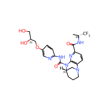 C[C@@H](NC(=O)c1ccc2c(n1)N(C(=O)Nc1ccc(OC[C@@H](O)CO)cn1)[C@H]1CCCN2C1)C(F)(F)F